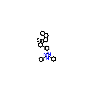 c1ccc(-c2nc(-c3ccccc3)nc(-c3cccc(-c4cccc5[se]c6c(ccc7ccc8ccccc8c76)c45)c3)n2)cc1